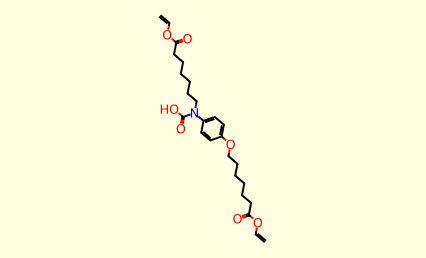 C=COC(=O)CCCCCCOc1ccc(N(CCCCCCC(=O)OC=C)C(=O)O)cc1